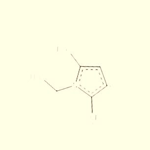 [CH2]Cn1c(C)ccc1C